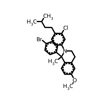 COc1ccc2c(c1)CCN(c1ccc(CCC(C)C)c(Cl)c1)C2(C)c1ccc(Br)cc1